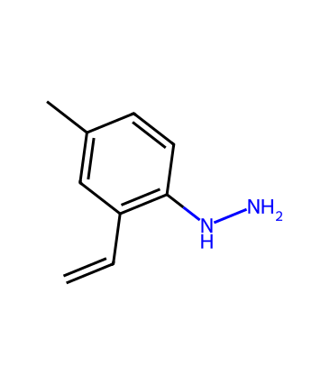 C=Cc1cc(C)ccc1NN